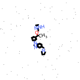 CC(OCc1ncc[nH]1)c1cccc(-n2cnc3cc(CN4CCCC4)ccc32)c1